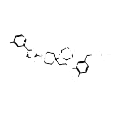 O=C(O)Cc1ccc(Cl)c(OCCC2(N3CCOCC3)CCN(c3ncc(-c4cccc(F)c4)s3)CC2)c1